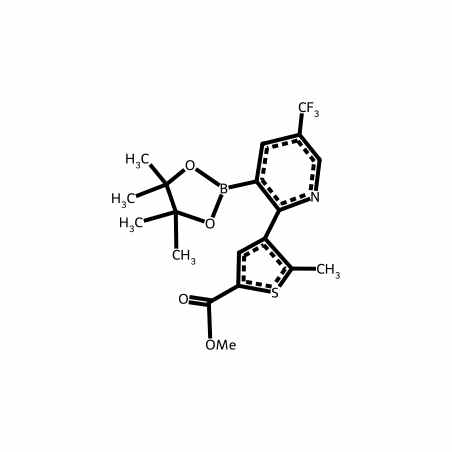 COC(=O)c1cc(-c2ncc(C(F)(F)F)cc2B2OC(C)(C)C(C)(C)O2)c(C)s1